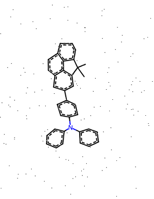 CC1(C)c2cccc3ccc4cc(-c5ccc(N(c6ccccc6)c6ccccc6)cc5)cc1c4c23